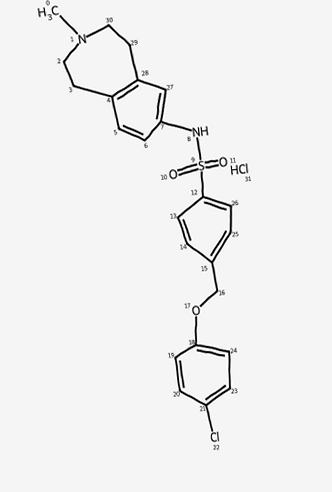 CN1CCc2ccc(NS(=O)(=O)c3ccc(COc4ccc(Cl)cc4)cc3)cc2CC1.Cl